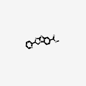 COC(=O)c1ccc2c(c1)nc1n2CC(c2ccccn2)S1